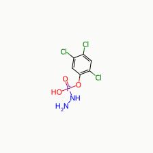 NNP(=O)(O)Oc1cc(Cl)c(Cl)cc1Cl